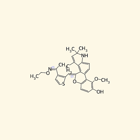 CCO/N=C(/C)c1ccsc1/C=C1\Oc2ccc(O)c(OC)c2-c2ccc3c(c21)C(C)=CC(C)(C)N3